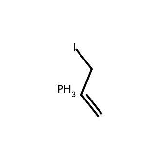 C=CCI.P